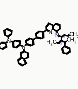 C=C/C=C(/N=C1\CC=Cc2ccc(-c3ccc(-c4ccc(N(c5ccc(N(c6ccccc6)c6ccccc6)cc5)c5ccc6ccccc6c5)cc4)cc3)nc21)C(=C/C)\C(C)c1ccccc1